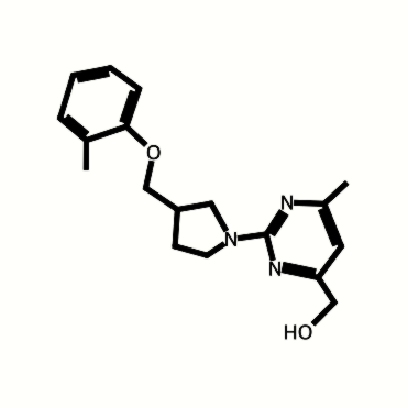 Cc1cc(CO)nc(N2CCC(COc3ccccc3C)C2)n1